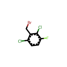 Fc1ccc(Cl)c(CBr)c1Cl